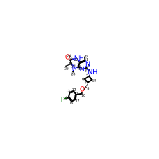 Cc1nc(N[C@H]2C[C@@H](COCc3ccc(F)cc3)C2)nc2c1NC(=O)[C@H](C)N2C